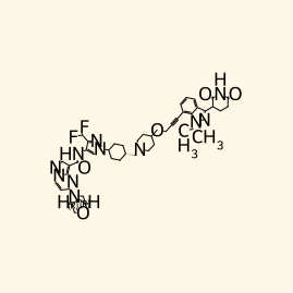 CC(C)n1nc(C2CCC(=O)NC2=O)c2cccc(C#CCOC3CCN(C[C@H]4CC[C@H](n5cc(NC(=O)c6cnn7ccc(N8C[C@H]9C[C@@H]8CO9)nc67)c(C(F)F)n5)CC4)CC3)c21